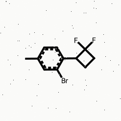 Cc1ccc(C2CCC2(F)F)c(Br)c1